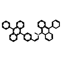 CN(/C=C\c1ccc(-c2c3ccccc3c(-c3ccccc3)c3ccccc23)cc1)C1=c2ccccc2=C(C2=CC=CCC2)C2C=CC=CC12